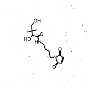 CC(C)(CO)C(O)C(=O)NCCCCN1C(=O)C=CC1=O